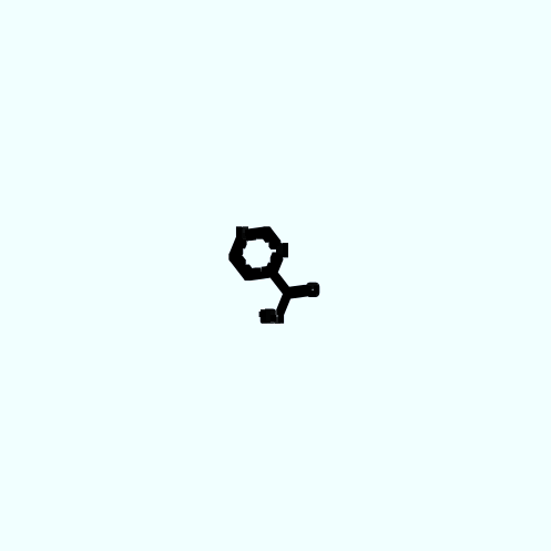 CC(C)(C)C(=O)c1ccncn1